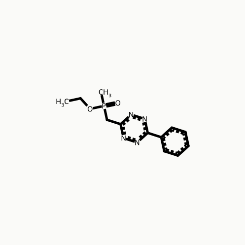 CCOP(C)(=O)Cc1nnc(-c2ccccc2)nn1